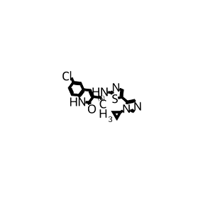 C[C@H](Nc1ncc(-c2cncn2C2CC2)s1)c1cc2cc(Cl)ccc2[nH]c1=O